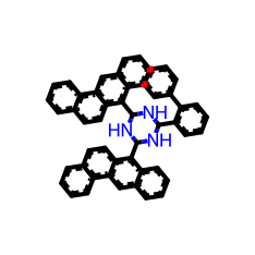 c1ccc(-c2ccccc2C2NC(c3c4ccccc4cc4c3ccc3ccccc34)NC(c3c4ccccc4cc4c3ccc3ccccc34)N2)cc1